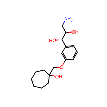 NC[C@@H](O)[C@@H](O)c1cccc(OCC2(O)CCCCCC2)c1